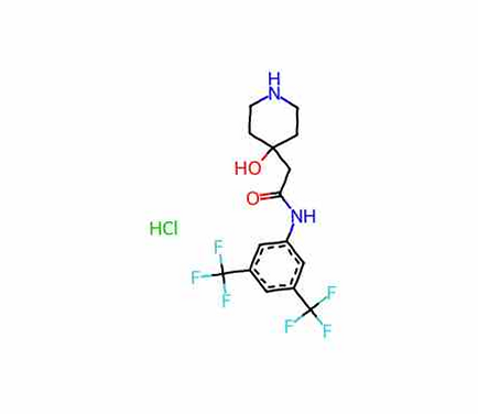 Cl.O=C(CC1(O)CCNCC1)Nc1cc(C(F)(F)F)cc(C(F)(F)F)c1